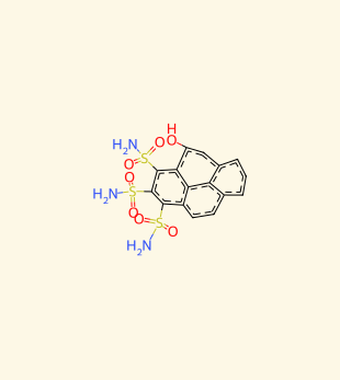 NS(=O)(=O)c1c(S(N)(=O)=O)c2ccc3cccc4cc(O)c(c1S(N)(=O)=O)c2c34